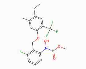 CCc1cc(C(F)(F)F)c(OCc2c(F)cccc2N(O)C(=O)OC)cc1C